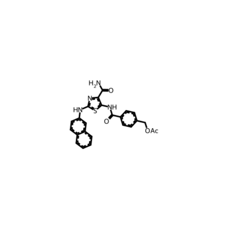 CC(=O)OCc1ccc(C(=O)Nc2sc(Nc3ccc4ccccc4c3)nc2C(N)=O)cc1